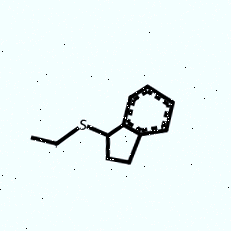 C[CH]SC1CCc2ccccc21